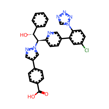 O=C(O)c1ccc(-c2cnn([C@H](c3ccc(-c4cc(Cl)ccc4-n4cnnn4)cn3)[C@H](O)c3ccccc3)c2)cc1